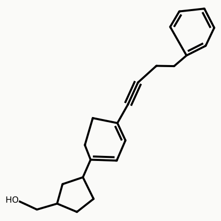 OCC1CCC(C2=CC=C(C#CCCc3ccccc3)CC2)C1